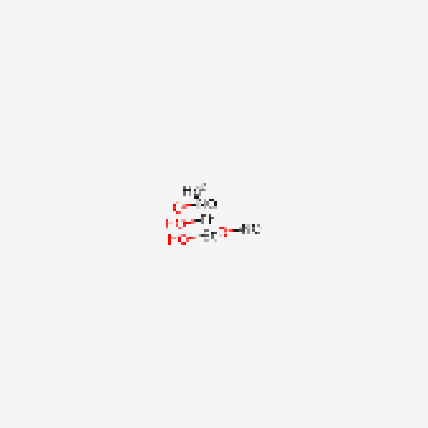 CCO.CCO.O=N[O-].O=N[O-].[Hg+2]